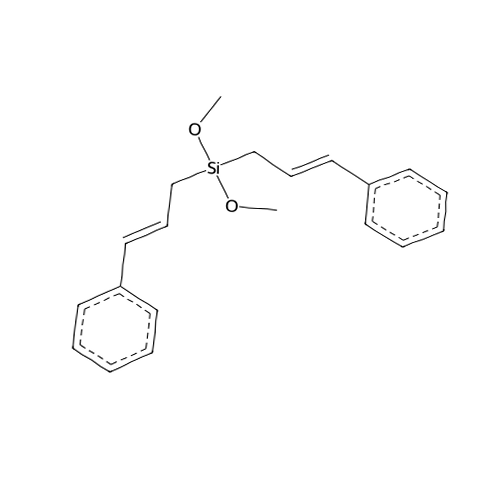 CO[Si](CC=Cc1ccccc1)(CC=Cc1ccccc1)OC